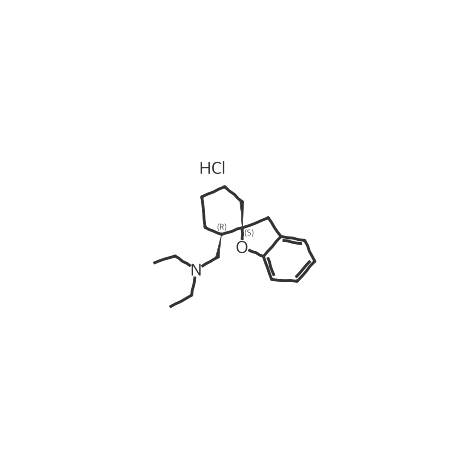 CCN(CC)C[C@H]1CCCC[C@]12Cc1ccccc1O2.Cl